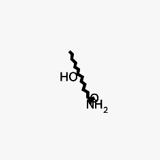 CCCCCC[C@@H](O)CCCCCCC(N)=O